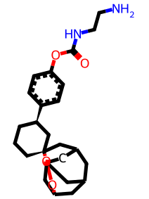 NCCNC(=O)Oc1ccc([C@@H]2CCC[C@]3(CC4CC5CC(C4)CC(C5)OO3)C2)cc1